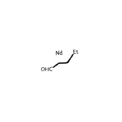 CCCCC=O.[Nd]